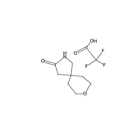 O=C(O)C(F)(F)F.O=C1CC2(CCOCC2)CN1